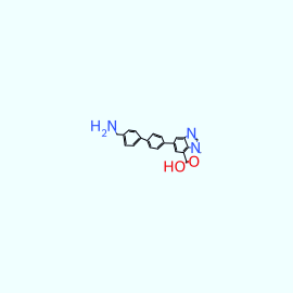 Cn1cnc2cc(-c3ccc(-c4ccc(CN)cc4)cc3)cc(C(=O)O)c21